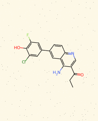 CCC(=O)c1cnc2ccc(-c3cc(F)c(O)c(Cl)c3)cc2c1N